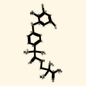 CC(C)(CNC(=O)C(C)(C)c1ccc(Oc2cc(F)cc(F)c2O)cc1)C(N)=O